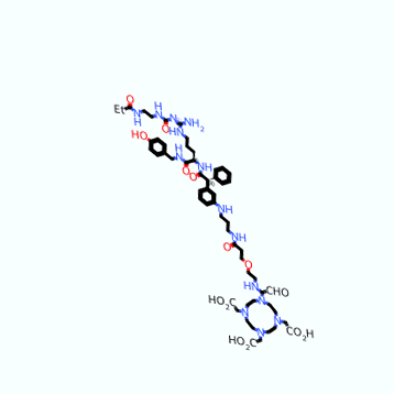 CCC(=O)NCCNC(=O)/N=C(/N)NCCC[C@@H](NC(=O)[C@H](c1ccccc1)c1cccc(NCCCNC(=O)CCOCCNC(C=O)N2CCN(CC(=O)O)CCN(CC(=O)O)CCN(CC(=O)O)CC2)c1)C(=O)NCc1ccc(O)cc1